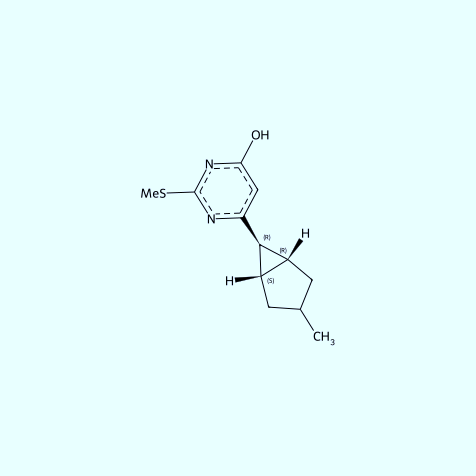 CSc1nc(O)cc([C@H]2[C@@H]3CC(C)C[C@@H]32)n1